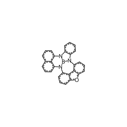 c1ccc2c(c1)N1B3N2c2cccc4oc5cccc(c5c24)N3c2cccc3cccc1c23